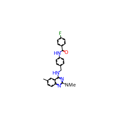 CNc1nc(NCc2ccc(NC(=O)c3ccc(F)cc3)cc2)c2cc(C)ccc2n1